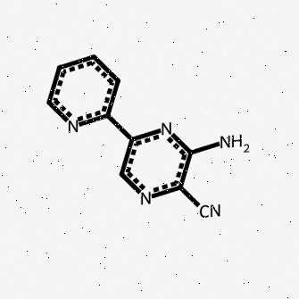 N#Cc1ncc(-c2ccccn2)nc1N